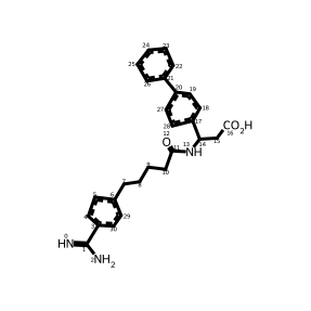 N=C(N)c1ccc(CCCCC(=O)NC(CC(=O)O)c2ccc(-c3ccccc3)cc2)cc1